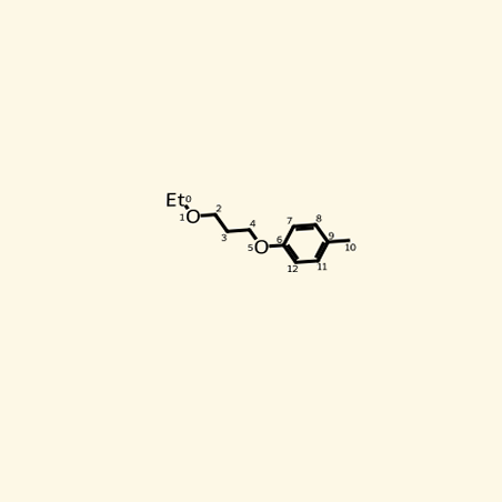 CCOCCCOc1ccc(C)cc1